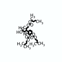 CCCC(C)OC(=O)OCC(C)C(c1ccc(OC(=O)OCCC(C)C)c(OC(=O)OCCC(C)C)c1)[C@H](N)C(=O)O